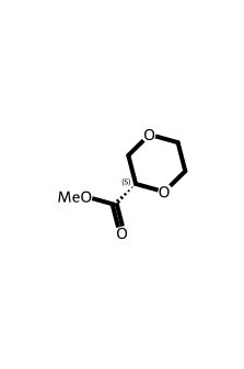 COC(=O)[C@@H]1COCCO1